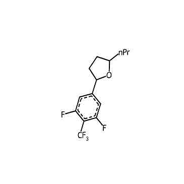 CCCC1CCC(c2cc(F)c(C(F)(F)F)c(F)c2)O1